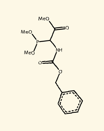 COC(=O)C(NC(=O)OCc1ccccc1)P(OC)OC